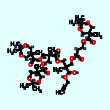 C#CCOC(=O)C(C)(COC(=O)CCOC(=O)C1(C)COC(C)(C)OC1)COC(=O)C(C)(COC(=O)C1(C)COC(C)(C)OC1)COC(=O)C1(C)COC(C)(C)OC1